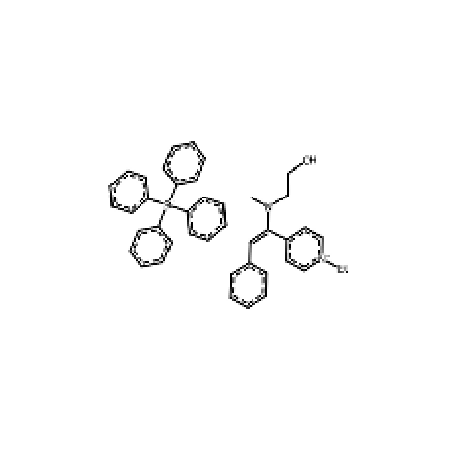 CC[n+]1ccc(/C(=C\c2ccccc2)N(C)CCO)cc1.c1ccc([B-](c2ccccc2)(c2ccccc2)c2ccccc2)cc1